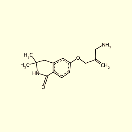 C=C(CN)COc1ccc2c(c1)CC(C)(C)NC2=O